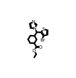 CCOC(=O)C1CCCC(C(c2sccc2Br)n2ccnc2)C1